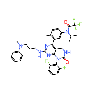 Cc1ccc(N(C(=O)C(F)(F)F)C(C)C)cc1-c1nc(NCCCN(C)c2ccccc2)nc2c1CNC(=O)N2c1c(F)cccc1F